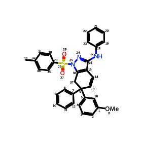 COc1cccc(C2(c3ccccc3)C=Cc3c(Nc4ccccc4)nn(S(=O)(=O)c4ccc(C)cc4)c3C2)c1